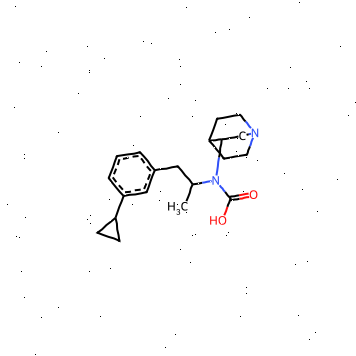 CC(Cc1cccc(C2CC2)c1)N(C(=O)O)C1CN2CCC1CC2